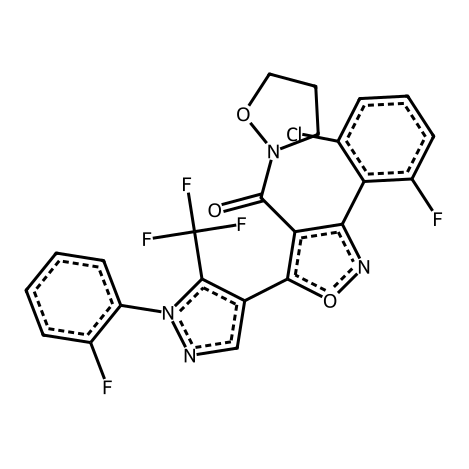 O=C(c1c(-c2c(F)cccc2Cl)noc1-c1cnn(-c2ccccc2F)c1C(F)(F)F)N1CCCO1